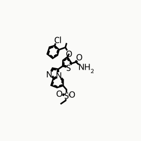 CCS(=O)(=O)Cc1ccc2ncc(-c3cc(OC(C)c4ccccc4Cl)c(C(N)=O)s3)n2c1